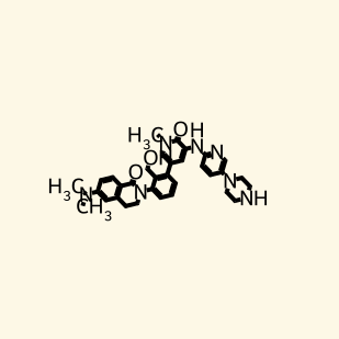 CN(C)c1ccc2c(c1)CCN(c1cccc(-c3cc(Nc4ccc(N5CCNCC5)cn4)c(=O)n(C)c3)c1CO)C2=O